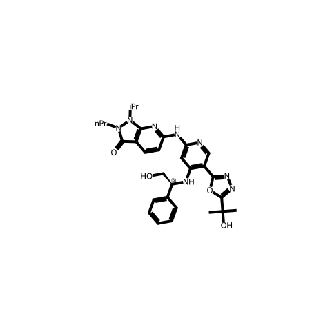 CCCn1c(=O)c2ccc(Nc3cc(N[C@H](CO)c4ccccc4)c(-c4nnc(C(C)(C)O)o4)cn3)nc2n1C(C)C